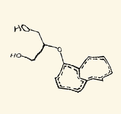 OCC(CO)Oc1cccc2ccccc12